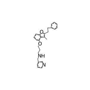 Cc1c(CCc2ccccc2)oc2cccc(OCCCNCc3cccnc3)c12